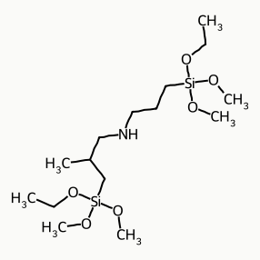 CCO[Si](CCCNCC(C)C[Si](OC)(OC)OCC)(OC)OC